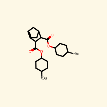 CC(C)(C)C1CCC(OC(=O)C2C3=CCC(C3)C2C(=O)OC2CCC(C(C)(C)C)CC2)CC1